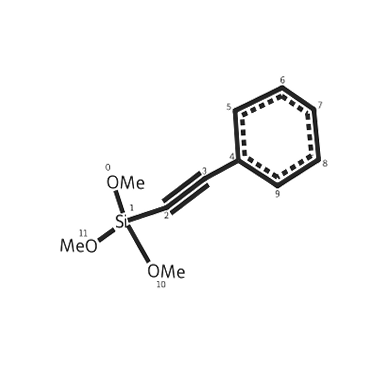 CO[Si](C#Cc1ccccc1)(OC)OC